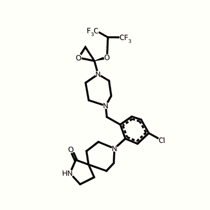 O=C1NCCC12CCN(c1cc(Cl)ccc1CN1CCN([C@@]3(OC(C(F)(F)F)C(F)(F)F)CO3)CC1)CC2